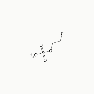 CS(=O)(=O)OCCCl